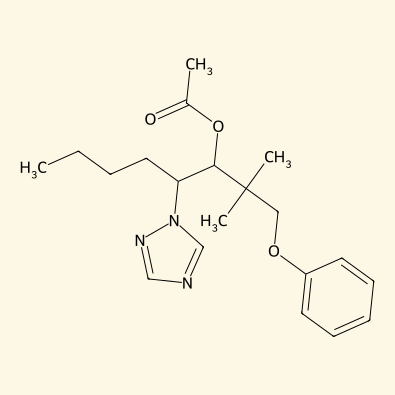 CCCCC(C(OC(C)=O)C(C)(C)COc1ccccc1)n1cncn1